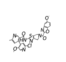 COc1ccc2oc(C(=O)N3Cc4nc(NC(=O)c5cnc(C)cc5-c5cc(Cl)ncc5OC)sc4C3)nc2c1